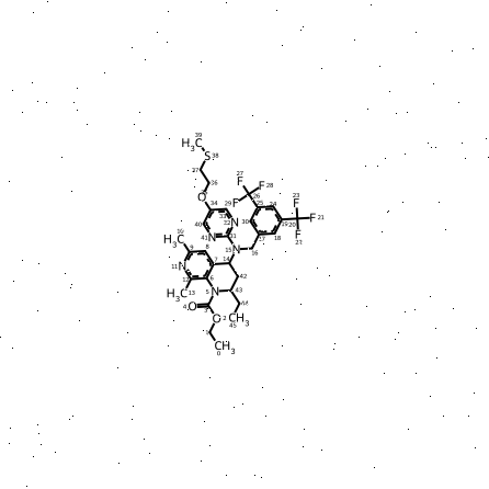 CCOC(=O)N1c2c(cc(C)nc2C)C(N(Cc2cc(C(F)(F)F)cc(C(F)(F)F)c2)c2ncc(OCCSC)cn2)CC1CC